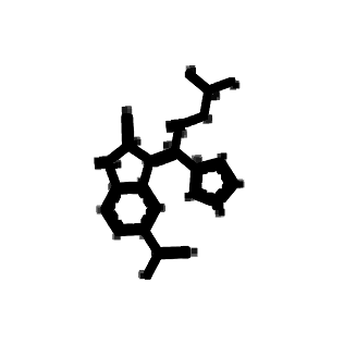 CC(=O)c1ccc2c(c1)/C(=C(/NCC(C)C)c1ccoc1)C(=O)N2